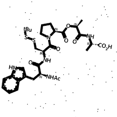 CC(=O)N[C@@H](Cc1c[nH]c2ccccc12)C(=O)N[C@@H](CSSC(C)(C)C)C(=O)N1CCC[C@H]1C(=O)O[C@@H](C)C(=O)N[C@@H](C)C(=O)O